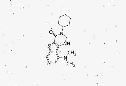 CN(C)c1cncc2sc3c(c12)NCN(C1CCCCC1)C3=O